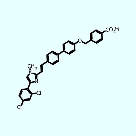 Cn1cc(-c2ccc(Cl)cc2Cl)nc1/C=C/c1ccc(-c2ccc(OCc3ccc(C(=O)O)cc3)cc2)cc1